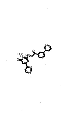 Cn1c(NCC(=O)c2cccc(-c3cccnc3)c2)nc(-c2ccncn2)cc1=O